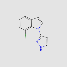 Fc1cccc2ccn(-c3cc[nH]n3)c12